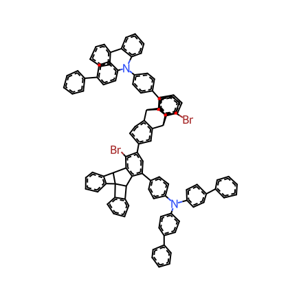 Brc1ccc(-c2ccc(N(c3ccc(-c4ccccc4)cc3)c3ccccc3-c3ccccc3)cc2)c2c1C1c3ccccc3C2c2ccc(-c3cc(-c4ccc(N(c5ccc(-c6ccccc6)cc5)c5ccc(-c6ccccc6)cc5)cc4)c4c(c3Br)C3c5ccccc5C35c3ccccc3C45)cc21